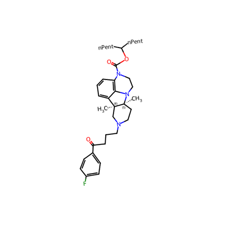 CCCCCC(CCCCC)OC(=O)N1CCN2c3c1cccc3[C@]1(C)CN(CCCC(=O)c3ccc(F)cc3)CC[C@]21C